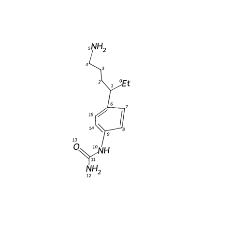 CCC(CCCN)c1ccc(NC(N)=O)cc1